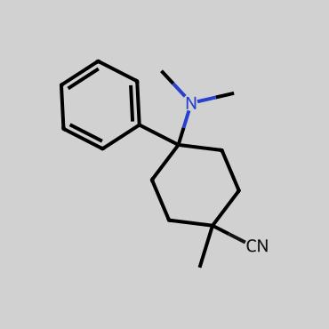 CN(C)C1(c2ccccc2)CCC(C)(C#N)CC1